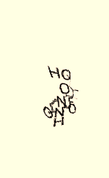 C[C@@H]1[C@@H](CO)O[C@@H](n2ccc(=O)[nH]c2=O)[C@]1(C)F